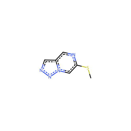 CSc1cn2nncc2cn1